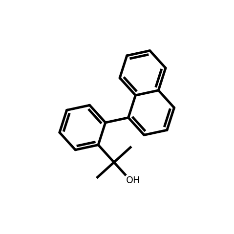 CC(C)(O)c1ccccc1-c1cccc2ccccc12